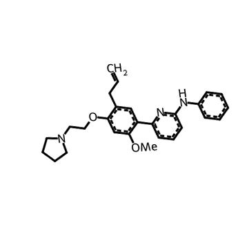 C=CCc1cc(-c2cccc(Nc3ccccc3)n2)c(OC)cc1OCCN1CCCC1